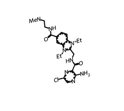 CCn1c(CNC(=O)c2nc(Cl)cnc2N)[n+](CC)c2ccc(C(=O)NCCNC)cc21